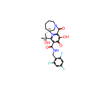 C[C@@]1(O)C[C@]23CCCCN(C2)C(=O)c2c(O)c(=O)c(C(=O)NCc4c(F)cc(F)cc4F)c1n23